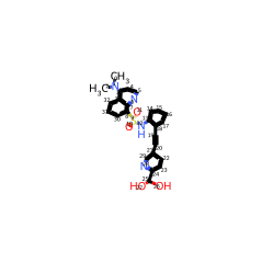 CN(C)c1ccnc2c(S(=O)(=O)Nc3ccccc3C#Cc3ccc(C(O)O)nc3)cccc12